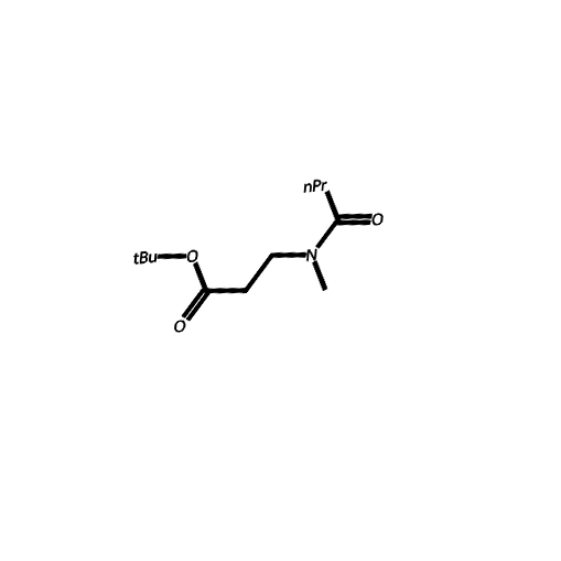 CCCC(=O)N(C)CCC(=O)OC(C)(C)C